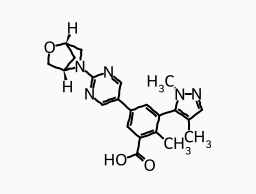 Cc1cnn(C)c1-c1cc(-c2cnc(N3C[C@@H]4C[C@H]3CO4)nc2)cc(C(=O)O)c1C